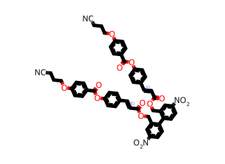 N#CCCCOc1ccc(C(=O)Oc2ccc(/C=C/C(=O)OCc3cc([N+](=O)[O-])ccc3-c3ccc([N+](=O)[O-])cc3COC(=O)/C=C/c3ccc(OC(=O)c4ccc(OCCCC#N)cc4)cc3)cc2)cc1